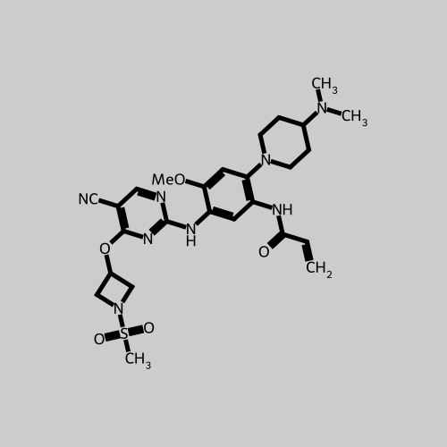 C=CC(=O)Nc1cc(Nc2ncc(C#N)c(OC3CN(S(C)(=O)=O)C3)n2)c(OC)cc1N1CCC(N(C)C)CC1